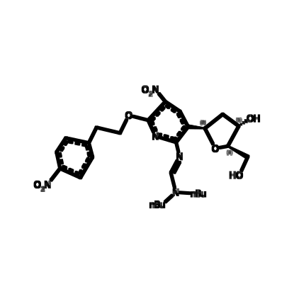 CCCCN(C=Nc1nc(OCCc2ccc([N+](=O)[O-])cc2)c([N+](=O)[O-])cc1[C@H]1C[C@H](O)[C@@H](CO)O1)CCCC